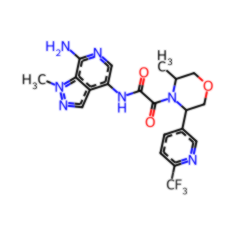 CC1COCC(c2ccc(C(F)(F)F)nc2)N1C(=O)C(=O)Nc1cnc(N)c2c1cnn2C